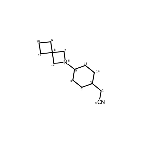 N#CCC1CCC(N2CC3(CCC3)C2)CC1